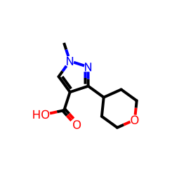 Cn1cc(C(=O)O)c(C2CCOCC2)n1